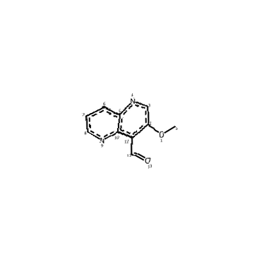 COc1cnc2cccnc2c1C=O